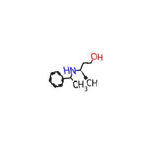 C#C[C@H](CCO)NC(C)c1ccccc1